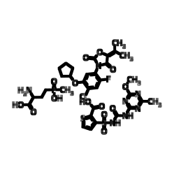 CC(C)=C1OC(=O)N(c2cc(OC3CCCC3)c(Cl)cc2F)C1=O.COc1nc(C)nc(NC(=O)NS(=O)(=O)c2ccsc2C(=O)O)n1.CP(=O)(O)CCC(N)C(=O)O